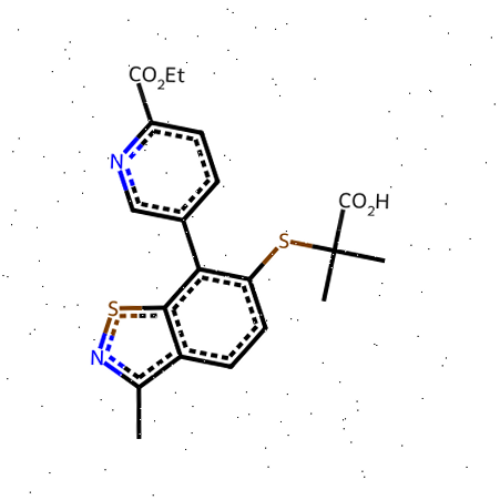 CCOC(=O)c1ccc(-c2c(SC(C)(C)C(=O)O)ccc3c(C)nsc23)cn1